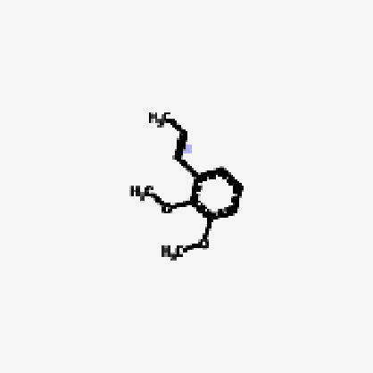 C/C=C/c1cccc(OC)c1OC